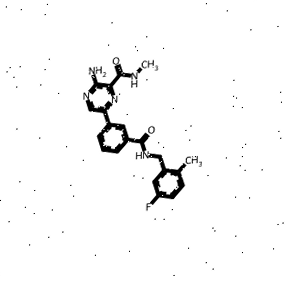 CNC(=O)c1nc(-c2cccc(C(=O)NCc3cc(F)ccc3C)c2)cnc1N